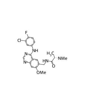 CN[C@@H](C)C(=O)NCc1cc2c(Nc3ccc(F)c(Cl)c3)ncnc2cc1OC